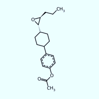 CCC[C@@H]1O[C@H]1C1CCC(c2ccc(OC(C)=O)cc2)CC1